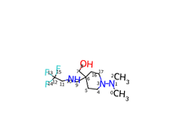 CN(C)N1CCC(CO)(CNCC(F)(F)F)CC1